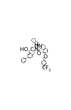 O=C(N[C@@H](Cc1ccc(-c2ccccc2)cc1)C(=O)O)C1c2cc(OCc3ccc(C(F)(F)F)cc3)ccc2CCN1C(=O)CC1CCCC1